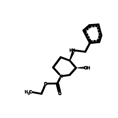 CCOC(=O)N1CC[C@@H](NCc2ccccc2)[C@H](O)C1